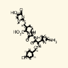 Cn1nc(O)c(=O)nc1SCC1=C(C(=O)O)N2C(=O)[C@@H](NC(=O)/C(=N\OCc3ccc(Cl)cc3)c3csc(N)n3)[C@@H]2SC1